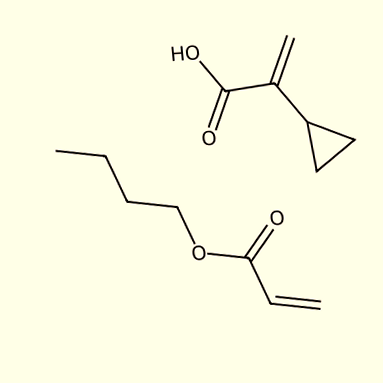 C=C(C(=O)O)C1CC1.C=CC(=O)OCCCC